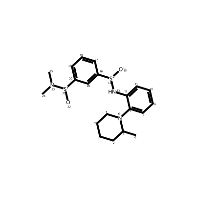 CC1CCCCN1c1ccccc1N[S+]([O-])c1cccc([S+]([O-])N(C)C)c1